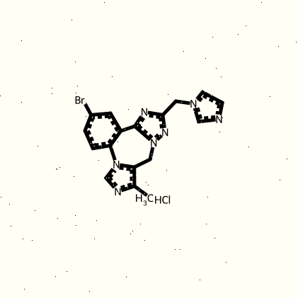 Cc1ncn2c1Cn1nc(Cn3ccnc3)nc1-c1cc(Br)ccc1-2.Cl